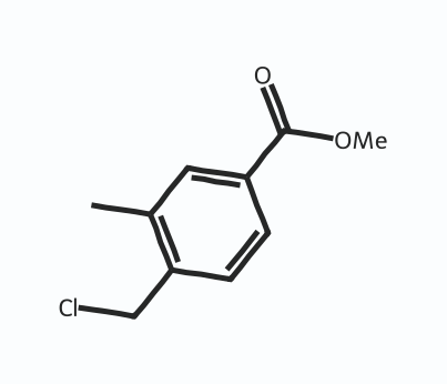 COC(=O)c1ccc(CCl)c(C)c1